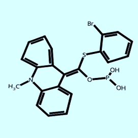 CN1c2ccccc2C(=C(OP(O)O)Sc2ccccc2Br)c2ccccc21